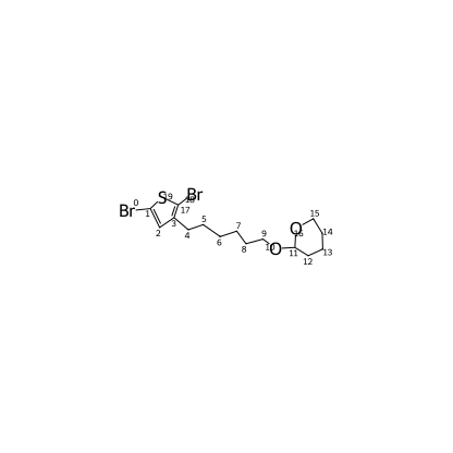 Brc1cc(CCCCCCOC2CCCCO2)c(Br)s1